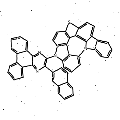 c1ccc2cc(-c3nc4c5ccccc5c5ccccc5c4nc3-n3c4ccc5sc6ccc7c8ccccc8n8c9cccc3c9c4c5c6c78)ccc2c1